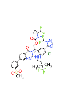 CC(C)(CCNC(=N)N(C(=O)c1ccc(-c2cccc(S(C)(=O)=O)c2)cc1)[C@H](COC(=O)NC1(C(F)F)CC1)c1ccc(Cl)c(-c2ncnn2C(F)F)c1)C(F)(F)F